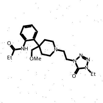 CCC(=O)Nc1ccccc1C1(COC)CCN(CCn2nnn(CC)c2=O)CC1